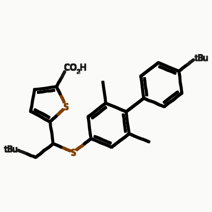 Cc1cc(SC(CC(C)(C)C)c2ccc(C(=O)O)s2)cc(C)c1-c1ccc(C(C)(C)C)cc1